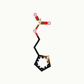 O=[SH](=O)OCCc1cccs1